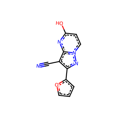 N#Cc1c(-c2ccco2)nn2ccc(O)nc12